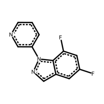 Fc1cc(F)c2c(cnn2-c2cccnc2)c1